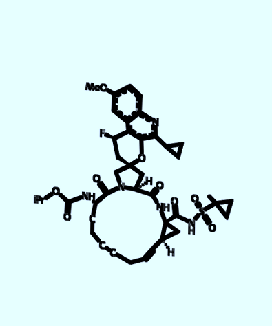 COc1ccc2nc(C3CC3)c3c(c2c1)[C@H](F)C[C@]1(C[C@H]2C(=O)N[C@]4(C(=O)NS(=O)(=O)C5(C)CC5)C[C@H]4/C=C\CCCCC[C@H](NC(=O)OC(C)C)C(=O)N2C1)O3